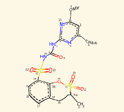 COc1cc(OC)nc(NC(=O)NS(=O)(=O)c2cccc3c2OS(=O)(=O)C(C)C3)n1